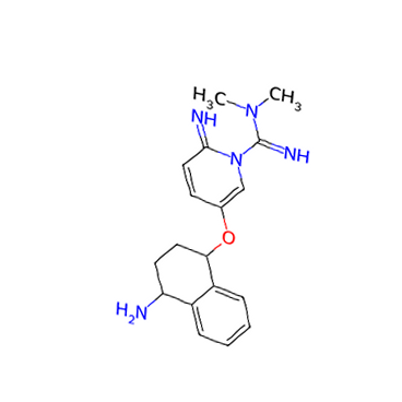 CN(C)C(=N)n1cc(OC2CCC(N)c3ccccc32)ccc1=N